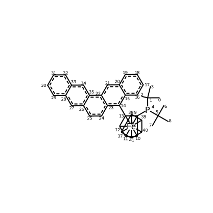 CC(C)(C)P(C(C)(C)C)[C]12[CH]3[CH]4[CH]5[C]1(c1c6ccccc6cc6c1ccc1cc7ccccc7cc16)[Fe]45321678[CH]2[CH]1[CH]6[CH]7[CH]28